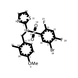 COc1ccc(CN(c2nccs2)S(=O)(=O)c2cc(Br)c(F)cc2F)c(C)c1